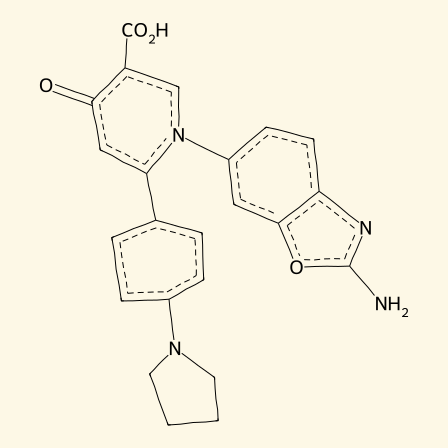 Nc1nc2ccc(-n3cc(C(=O)O)c(=O)cc3-c3ccc(N4CCCC4)cc3)cc2o1